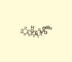 CC(C)(C)OC(=O)N1CCN(CC(O)CC2CCCCC2)CC1